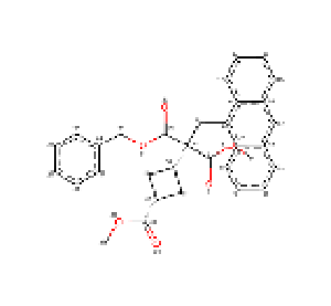 COC(=O)C(Cc1c2ccccc2cc2ccccc12)(C(=O)OCc1ccccc1)[C@H]1C[C@@H](C(=O)OC)C1